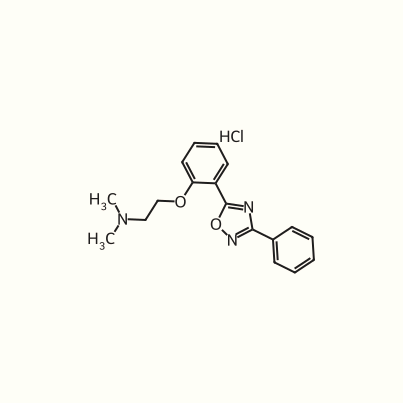 CN(C)CCOc1ccccc1-c1nc(-c2ccccc2)no1.Cl